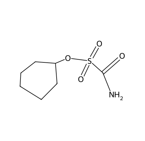 NC(=O)S(=O)(=O)OC1CCCCC1